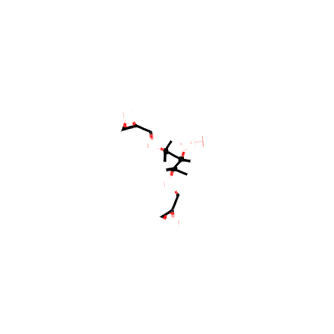 CC(C)(OCC1CO1)C(C)(O)C(C)(C)OCC1CO1